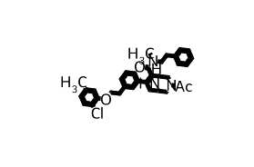 CC(=O)N1CC2CC(c3cccc(CCOc4cc(C)ccc4Cl)c3)=C(C(=O)N(C)CCc3ccccc3)[C@@H](C1)N2